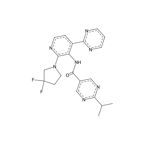 CC(C)c1ncc(C(=O)Nc2c(-c3ncccn3)ccnc2N2CCC(F)(F)C2)cn1